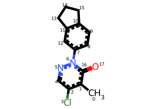 Cc1c(Cl)cnn(-c2ccc3c(c2)CCC3)c1=O